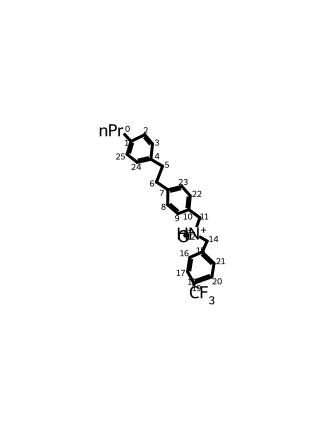 CCCc1ccc(CCc2ccc(C[NH+]([O-])Cc3ccc(C(F)(F)F)cc3)cc2)cc1